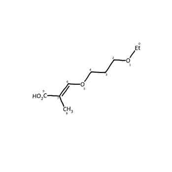 CCOCCCOC=C(C)C(=O)O